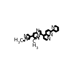 CCn1cc(-c2cc3ncc(-c4ccnc5nc(-c6ccccn6)ccc45)n3nc2C)cn1